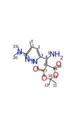 Cc1cc(C(N)=C2C(=O)OC(C)(C)OC2=O)nnc1N(C)C